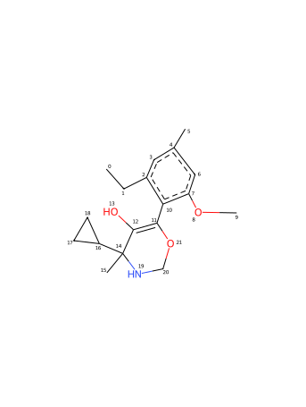 CCc1cc(C)cc(OC)c1C1=C(O)C(C)(C2CC2)NCO1